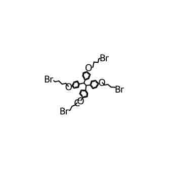 BrCCCCOc1ccc(C(c2ccc(OCCCCBr)cc2)C(c2ccc(OCCCCBr)cc2)c2ccc(OCCCCBr)cc2)cc1